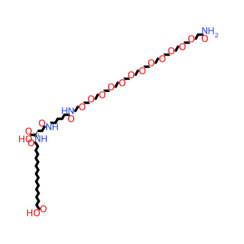 NC(=O)CCOCCOCCOCCOCCOCCOCCOCCOCCOCCOCCOCCOCCNC(=O)CCCCCNC(=O)CC[C@H](NC(=O)CCCCCCCCCCCCCCCCC(=O)O)C(=O)O